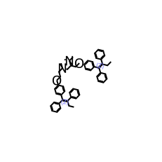 CC/C(=C(\c1ccccc1)c1ccc(OCCN(C)CC(COc2ccc(/C(=C(/CC)c3ccccc3)c3ccccc3)cc2)N(C)C)cc1)c1ccccc1